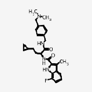 Cc1c(C(=O)NC(CCC2CC2)C(=O)NCc2ccc(CN(C)C)cc2)[nH]c2c(F)cccc12